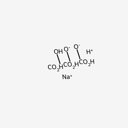 O=C(O)O.O=C([O-])O.O=C([O-])O.[H+].[Na+]